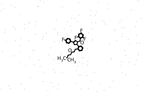 CC(C)CCC(=O)CCc1ccccc1C1CC(c2ccc(F)cc2)=CC1C(=O)c1c(F)cc(F)cc1F